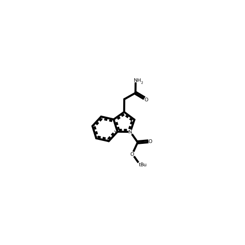 CC(C)(C)OC(=O)n1cc(CC(N)=O)c2ccccc21